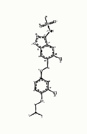 CC(C)COc1ccc(OCc2cc3onc(NS(C)(=O)=O)c3cc2Cl)cc1Cl